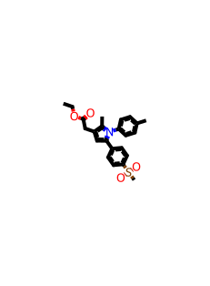 CCOC(=O)Cc1cc(-c2ccc(S(C)(=O)=O)cc2)n(-c2ccc(C)cc2)c1C